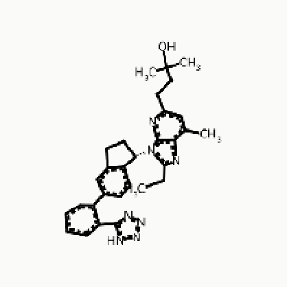 CCc1nc2c(C)cc(CCC(C)(C)O)nc2n1[C@H]1CCc2cc(-c3ccccc3-c3nnn[nH]3)ccc21